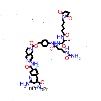 CCCN(CCC)C(=O)C1=Cc2cc(F)c(C(=O)Nc3cc4c(cn3)CCN(C(=O)OCc3ccc(NC(=O)C(CCCNC(N)=O)NC(=O)[C@@H](NC(=O)CCCCCN5C(=O)C=CC5=O)C(C)C)cc3)C4)cc2N=C(N)C1